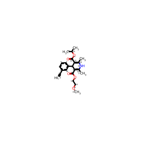 C#Cc1cccc(C2C(C(=O)OCCOC)=C(C)NC(C)=C2C(=O)OC(C)C)c1